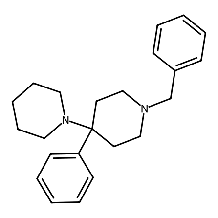 c1ccc(CN2CCC(c3ccccc3)(N3CCCCC3)CC2)cc1